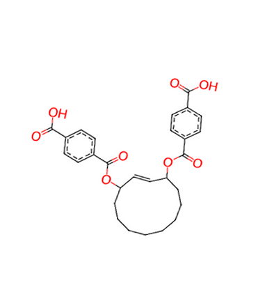 O=C(O)c1ccc(C(=O)OC2/C=C/C(OC(=O)c3ccc(C(=O)O)cc3)CCCCCCCC2)cc1